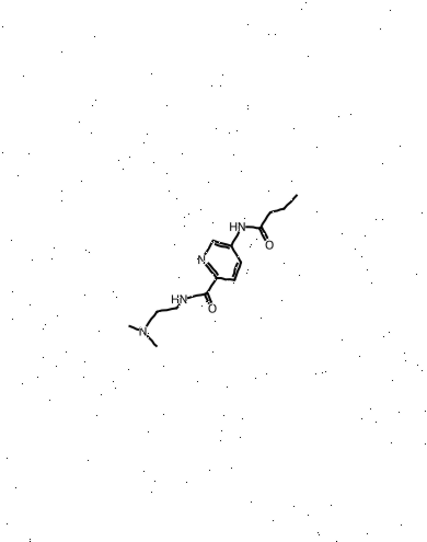 CCCC(=O)Nc1ccc(C(=O)NCCN(C)C)nc1